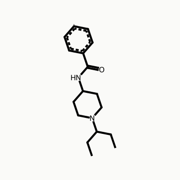 CCC(CC)N1CCC(NC(=O)c2cc[c]cc2)CC1